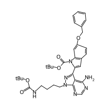 CC(C)(C)OC(=O)NCCCCn1nc(-c2cc3ccc(OCc4ccccc4)cc3n2C(=O)OC(C)(C)C)c2c(N)ncnc21